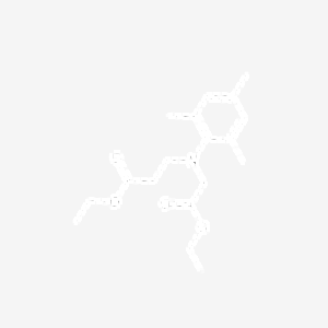 CCOC(=O)CCN(CC(=O)OCC)c1c(C)cc(C)cc1C